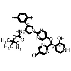 CC(C)(C)OC(=O)N[C@H]1CN(c2ncc(OC(c3ncc(Cl)cn3)[C@@H]3CCNC[C@@H]3O)cn2)C[C@@H]1c1cc(F)ccc1F